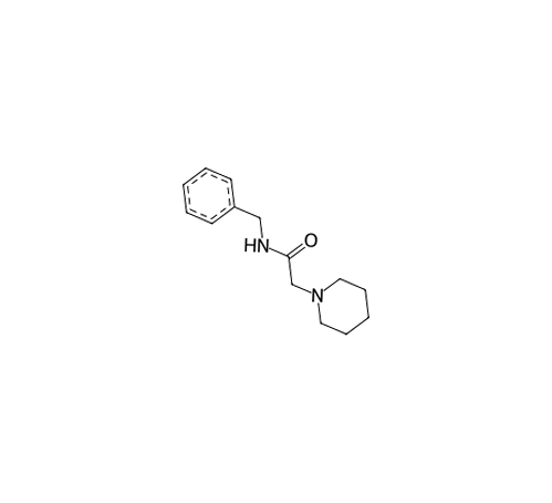 O=C(CN1CCCCC1)NCc1ccccc1